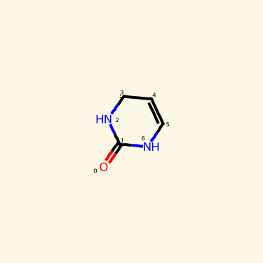 O=C1N[C]C=CN1